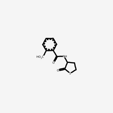 O=C(O)c1ccccc1C(=O)NC1CCSC1=O